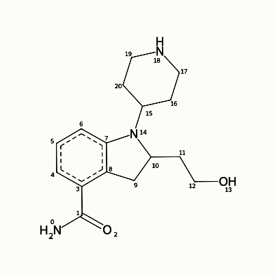 NC(=O)c1cccc2c1CC(CCO)N2C1CCNCC1